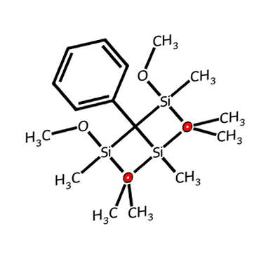 CO[Si](C)(OC)C(c1ccccc1)([Si](C)(OC)OC)[Si](C)(OC)OC